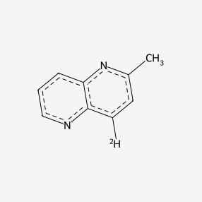 [2H]c1cc(C)nc2cccnc12